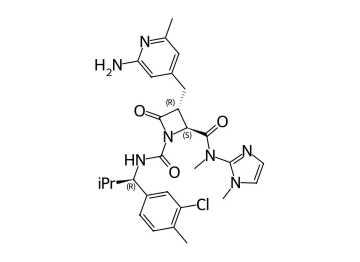 Cc1cc(C[C@H]2C(=O)N(C(=O)N[C@@H](c3ccc(C)c(Cl)c3)C(C)C)[C@@H]2C(=O)N(C)c2nccn2C)cc(N)n1